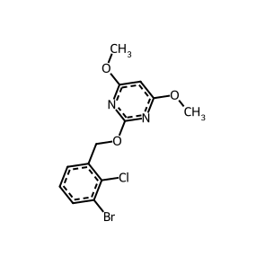 COc1cc(OC)nc(OCc2cccc(Br)c2Cl)n1